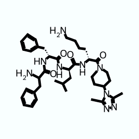 Cc1nnc(C)n1C1CCN(C(=O)[C@@H](CCCCN)NC(=O)[C@@H](CC(C)C)NC(=O)[C@@H](Cc2ccccc2)NC(=O)C(N)Cc2ccccc2)CC1